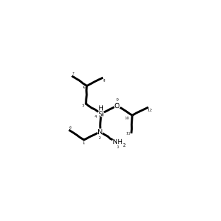 CCN(N)[SiH](CC(C)C)OC(C)C